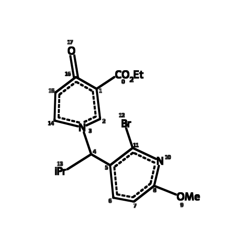 CCOC(=O)c1cn(C(c2ccc(OC)nc2Br)C(C)C)ccc1=O